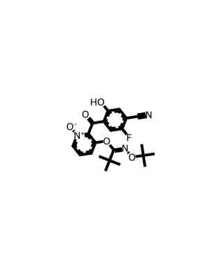 CC(C)(C)ON=C(Oc1ccc[n+]([O-])c1C(=O)c1cc(F)c(C#N)cc1O)C(C)(C)C